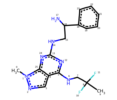 Cn1ncc2c(NCC(C)(F)F)nc(NCC(N)c3ccccc3)nc21